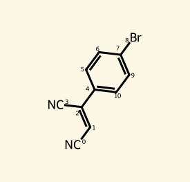 N#CC=C(C#N)c1ccc(Br)cc1